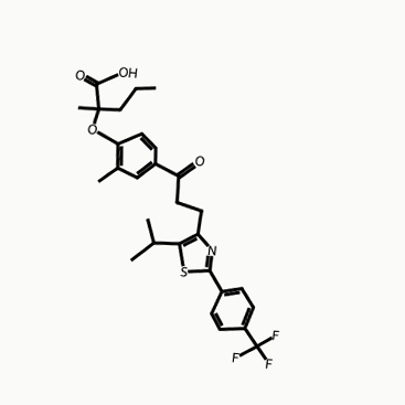 CCCC(C)(Oc1ccc(C(=O)CCc2nc(-c3ccc(C(F)(F)F)cc3)sc2C(C)C)cc1C)C(=O)O